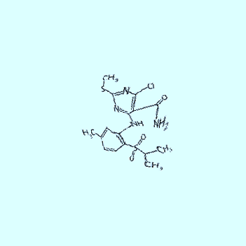 CSc1nc(Cl)c(C(N)=O)c(Nc2cc(C)ccc2S(=O)(=O)C(C)C)n1